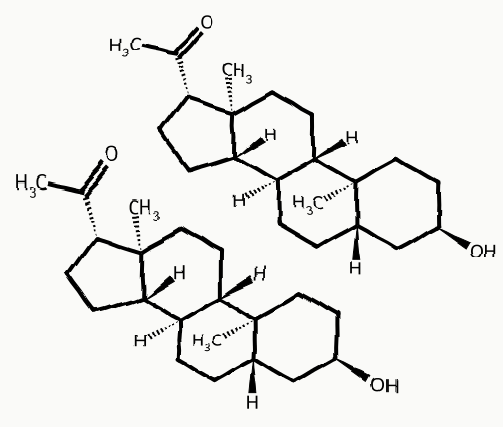 CC(=O)[C@H]1CC[C@H]2[C@@H]3CC[C@H]4C[C@H](O)CC[C@]4(C)[C@H]3CC[C@]12C.CC(=O)[C@H]1CC[C@H]2[C@@H]3CC[C@H]4C[C@H](O)CC[C@]4(C)[C@H]3CC[C@]12C